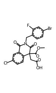 COC(=O)C1(CC(=O)O)C(=O)N(Cc2ccc(Br)cc2F)C(=O)c2cc(Cl)ccc21